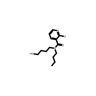 CCCCN(CCCCO)C(=O)c1cccnc1Cl